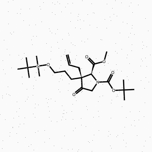 C=CC[C@]1(CCCO[Si](C)(C)C(C)(C)C)C(=O)CN(C(=O)OC(C)(C)C)[C@@H]1C(=O)OC